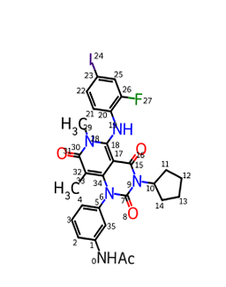 CC(=O)Nc1cccc(-n2c(=O)n(C3CCCC3)c(=O)c3c(Nc4ccc(I)cc4F)n(C)c(=O)c(C)c32)c1